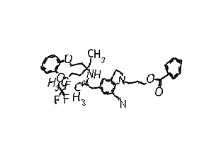 CCCC(CC)(CCOc1ccccc1OCC(F)(F)F)N[C@H](C)Cc1cc(C#N)c2c(c1)CCN2CCCOC(=O)c1ccccc1